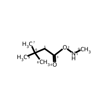 CNOC(=O)CC(C)(C)C